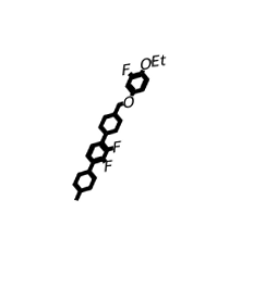 CCOc1ccc(OCC2CCC(c3ccc(C4CCC(C)CC4)c(F)c3F)CC2)cc1F